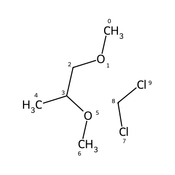 COCC(C)OC.ClCCl